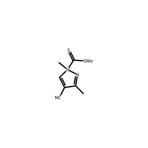 CSC(=S)[N+]1(C)C=C(C#N)C(C)=N1